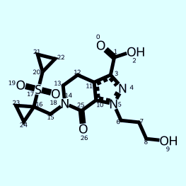 O=C(O)c1nn(CCCO)c2c1CCN(CC1(S(=O)(=O)C3CC3)CC1)C2=O